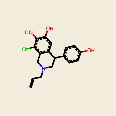 C=CCN1Cc2c(cc(O)c(O)c2Cl)C(c2ccc(O)cc2)C1